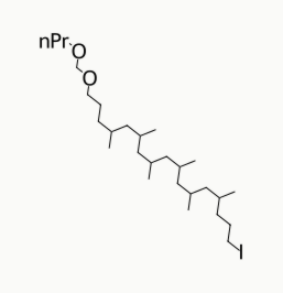 CCCOCOCCCC(C)CC(C)CC(C)CC(C)CC(C)CC(C)CCCI